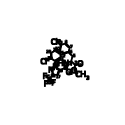 COC(=O)C(Cc1ccc(Cl)cc1)NC(=O)c1cc(C(F)(F)F)nn1-c1ccccc1Cl